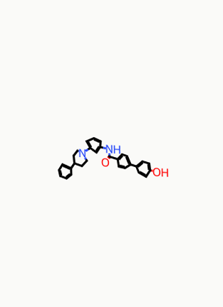 O=C(Nc1cccc(N2CCC(c3ccccc3)CC2)c1)c1ccc(-c2ccc(O)cc2)cc1